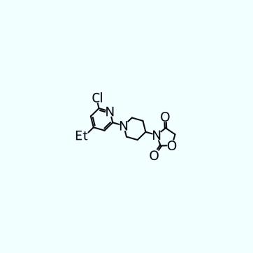 CCc1cc(Cl)nc(N2CCC(N3C(=O)COC3=O)CC2)c1